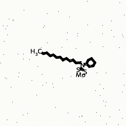 CCCCCCCCCCCCCN(C(=S)[S][Mo])C1CCCCC1